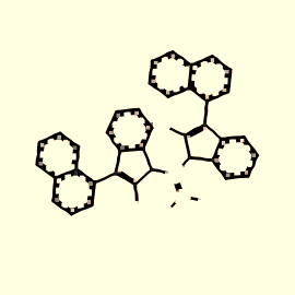 CC1=C(c2cccc3ccccc23)c2ccccc2[CH]1[Hf+2]([CH]1C(C)=C(c2cccc3ccccc23)c2ccccc21)=[Ge]([CH3])[CH3].[Cl-].[Cl-]